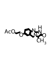 CC(=O)OCCOc1ccc2c(c1)CN1C(=N2)NC(=O)C1C